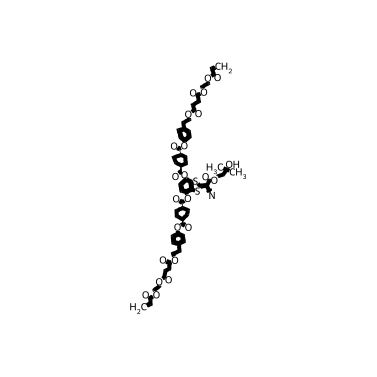 C=CC(=O)OCCOC(=O)CCC(=O)OCCc1ccc(OC(=O)[C@H]2CC[C@H](C(=O)Oc3ccc(OC(=O)[C@H]4CC[C@H](C(=O)Oc5ccc(CCOC(=O)CCC(=O)OCCOC(=O)C=C)cc5)CC4)c4c3SC(=C(C#N)C(=O)OCCC(C)(C)O)S4)CC2)cc1